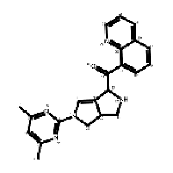 Cc1cc(C)nc(N2C=C3C(CNC3C(=O)c3cccc4cccnc34)C2)n1